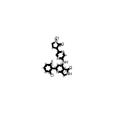 CCN1CCC(c2cnc(Nc3cc(-c4c(F)cccc4Cl)nc4c3C(=O)NC4)cn2)C1=O